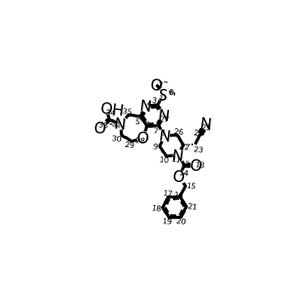 C[S+]([O-])c1nc2c(c(N3CCN(C(=O)OCc4ccccc4)[C@@H](CC#N)C3)n1)OCCN(C(=O)O)C2